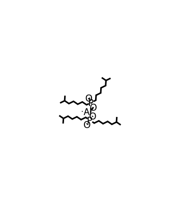 CC(C)CCCCCP(=O)(CCCCCC(C)C)[O][Al][O]P(=O)(CCCCCC(C)C)CCCCCC(C)C